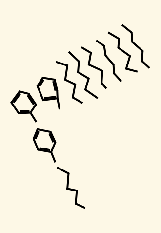 CCCCCC.CCCCCC.CCCCCC.CCCCCC.CCCCCC.CCCCCC.CCCCCC.Cc1ccccc1.Cc1ccccc1.Cc1ccccc1